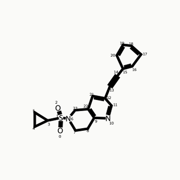 O=S(=O)(C1CC1)N1CCc2ncc(C#Cc3ccccc3)cc2C1